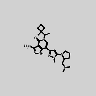 CC(n1cc(-c2cc(N3CCCC3CN(C)C)n(C)n2)c2[nH]nc(N)c2c1=O)C1(C)CCC1